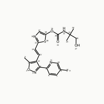 Cc1onc(-c2ccc(F)cn2)c1/C=C/c1ncc(OC(=O)NC(C)(C)CO)s1